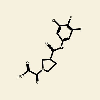 O=C(O)C(=O)N1CCC(C(=O)Nc2cc(F)c(F)c(Cl)c2)C1